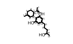 C=C(C)[C@@H]1CCC(C)=C[C@H]1c1c(O)cc(CCCC(C)O)cc1O